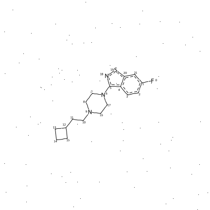 Fc1ccc2c(N3CCN(CCC4CCC4)CC3)nsc2c1